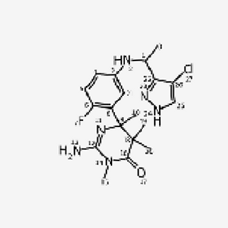 CC(Nc1ccc(F)c(C2(C)N=C(N)N(C)C(=O)C2(C)C)c1)c1n[nH]cc1Cl